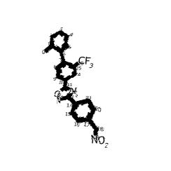 Cc1ccccc1-c1ccc(-c2nc(-c3ccc(C[N+](=O)[O-])cc3)no2)cc1C(F)(F)F